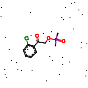 CP(C)(=O)OCC(=O)c1ccccc1Cl